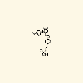 CCc1ccc(-n2nc(C)cc2COc2ccc(CCCC(=O)O)cc2)cc1